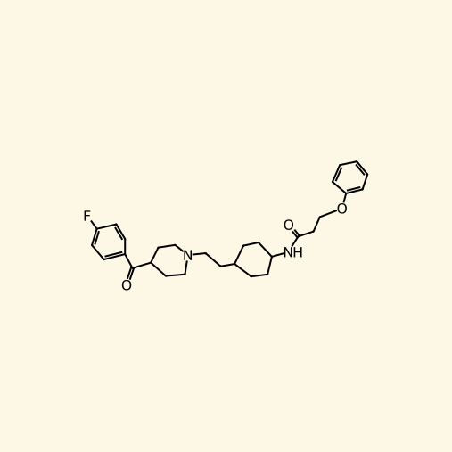 O=C(CCOc1ccccc1)NC1CCC(CCN2CCC(C(=O)c3ccc(F)cc3)CC2)CC1